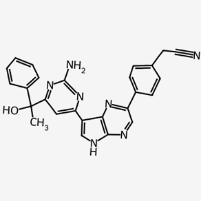 CC(O)(c1ccccc1)c1cc(-c2c[nH]c3ncc(-c4ccc(CC#N)cc4)nc23)nc(N)n1